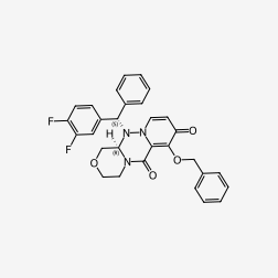 O=C1c2c(OCc3ccccc3)c(=O)ccn2N([C@@H](c2ccccc2)c2ccc(F)c(F)c2)[C@@H]2COCCN12